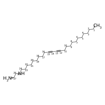 CCCCCCCCCCCCC#CC#CCCCCCCCCCNCCN